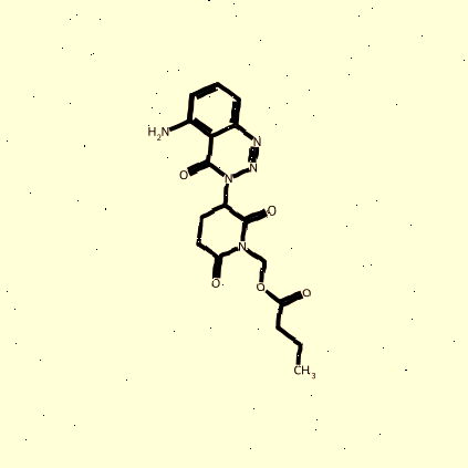 CCCC(=O)OCN1C(=O)CCC(n2nnc3cccc(N)c3c2=O)C1=O